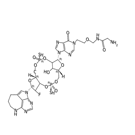 NCC(=O)NCOCCn1cnc2c(ncn2[C@@H]2O[C@@H]3CO[P@@](=O)(S)OC4C(F)[C@H](n5cc6c7c(ncnc75)NCCC6)O[C@@H]4CO[P@@](=O)(S)OC2C3O)c1=O